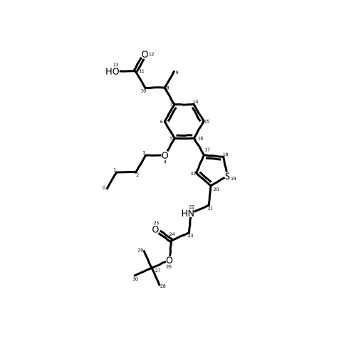 CCCCOc1cc(C(C)CC(=O)O)ccc1-c1csc(CNCC(=O)OC(C)(C)C)c1